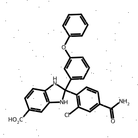 NC(=O)c1ccc(C2(c3cccc(Oc4ccccc4)c3)Nc3ccc(C(=O)O)cc3N2)c(Cl)c1